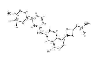 CC(C)c1ccc(N2CC(C[S@+]([O-])C(C)C)C2)c2cnc(Nc3ccnc(N4CC[C@@H](O)[C@@](C)(F)C4)n3)cc12